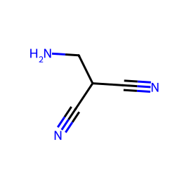 N#CC(C#N)CN